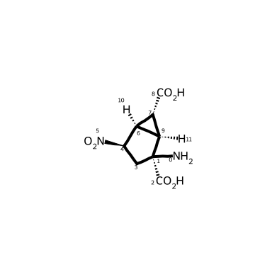 N[C@@]1(C(=O)O)C[C@@H]([N+](=O)[O-])[C@H]2[C@H](C(=O)O)[C@H]21